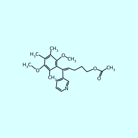 COc1c(C)c(C)c(OC)c(C(=CCCCOC(C)=O)c2cccnc2)c1C